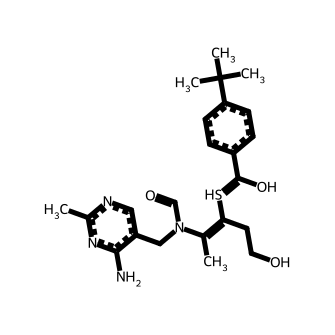 C/C(=C(CCO)/[SH]=C(\O)c1ccc(C(C)(C)C)cc1)N(C=O)Cc1cnc(C)nc1N